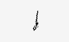 CCCCCCCCCCCOc1cc(C(=O)ON2CCC(C)CC2)co1